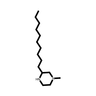 CCCCCCCCCCC1CN(C)CCN1